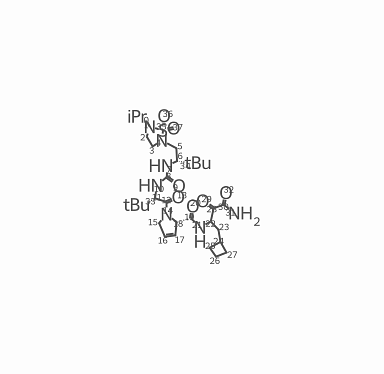 CC(C)N1CCN(C[C@@H](NC(=O)N[C@H](C(=O)N2CC=C[C@H]2C(=O)NC(CC2CCC2)C(=O)C(N)=O)C(C)(C)C)C(C)(C)C)S1(=O)=O